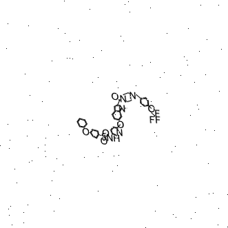 Cn1c(C(=O)N2CCN(Cc3ccc(OCC(F)(F)F)cc3)CC2)cc2ccc(Oc3ccc(NS(=O)(=O)c4ccc(Oc5ccccc5)cc4)cn3)cc21